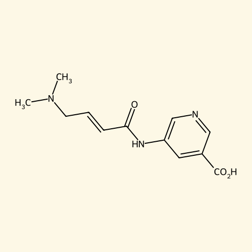 CN(C)C/C=C/C(=O)Nc1cncc(C(=O)O)c1